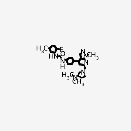 Cc1ccc(F)c(NC(=O)Nc2ccc(-c3cc(CN4CCC(N(C)C)C4)nc4c3cnn4C)cc2)c1